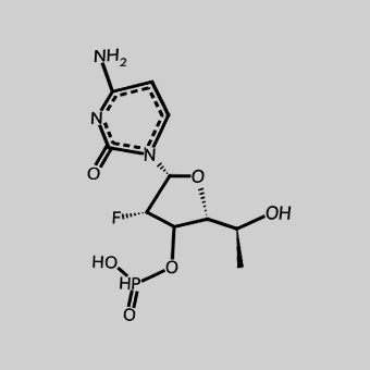 C[C@H](O)[C@H]1O[C@@H](n2ccc(N)nc2=O)[C@@H](F)C1O[PH](=O)O